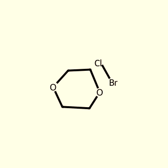 C1COCCO1.ClBr